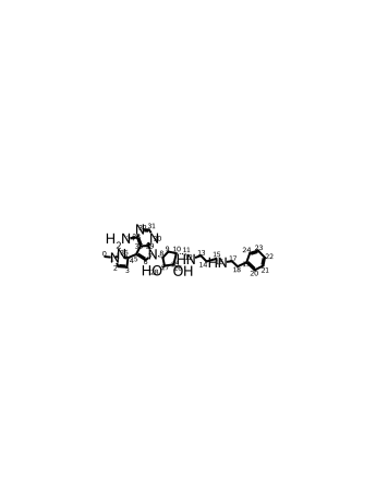 Cn1ccc(-c2cn([C@@H]3C[C@H](CNCCCNCCc4ccccc4)[C@@H](O)[C@H]3O)c3ncnc(N)c23)n1